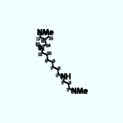 CNCCCNCCCCCCCN(C)CC(C)CNC